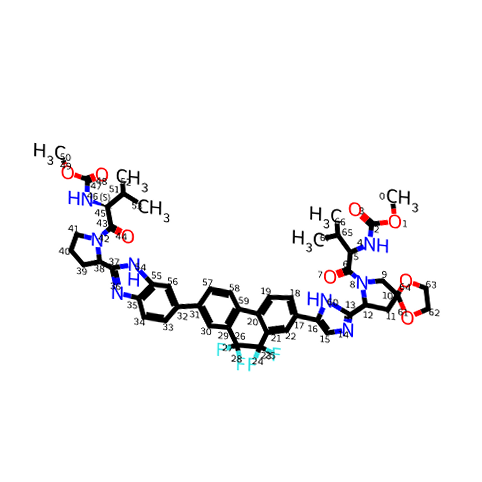 COC(=O)NC(C(=O)N1CC2(CC1c1ncc(-c3ccc4c(c3)C(F)(F)C(F)(F)c3cc(-c5ccc6nc(C7CCCN7C(=O)[C@@H](NC(=O)OC)C(C)C)[nH]c6c5)ccc3-4)[nH]1)OCCO2)C(C)C